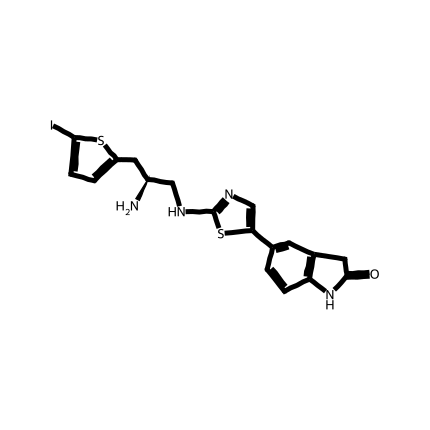 N[C@H](CNc1ncc(-c2ccc3c(c2)CC(=O)N3)s1)Cc1ccc(I)s1